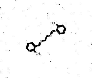 Cc1ccccc1C=NCCN=Cc1ccccc1C